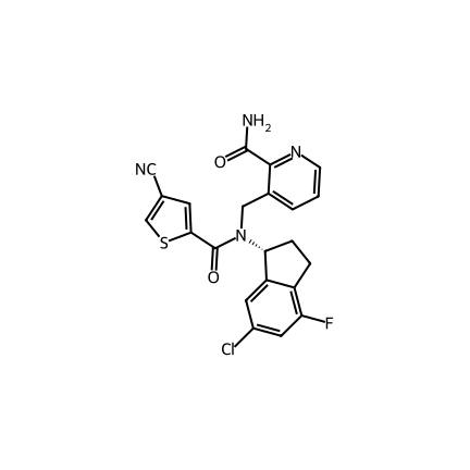 N#Cc1csc(C(=O)N(Cc2cccnc2C(N)=O)[C@@H]2CCc3c(F)cc(Cl)cc32)c1